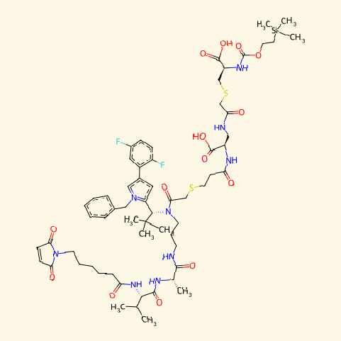 CC(C)[C@H](NC(=O)CCCCCN1C(=O)C=CC1=O)C(=O)N[C@@H](C)C(=O)NCCCN(C(=O)CSCCC(=O)N[C@H](CNC(=O)CSC[C@H](NC(=O)OCC[Si](C)(C)C)C(=O)O)C(=O)O)[C@@H](c1cc(-c2cc(F)ccc2F)cn1Cc1ccccc1)C(C)(C)C